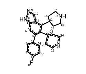 Fc1ccc(-c2nc3[nH]ncc3c(C3CCNCC3)c2-c2ccncc2)cc1